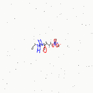 CCNNC(=O)CCCO[N+](=O)[O-]